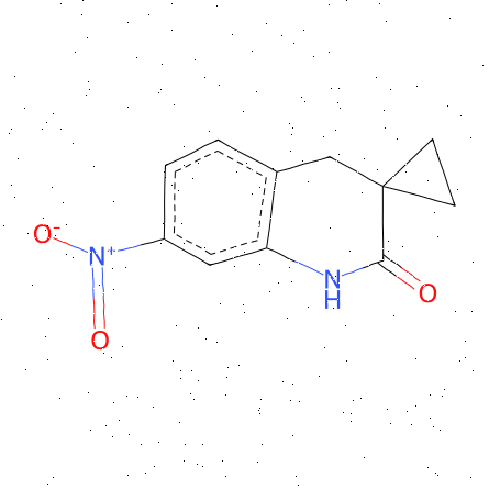 O=C1Nc2cc([N+](=O)[O-])ccc2CC12CC2